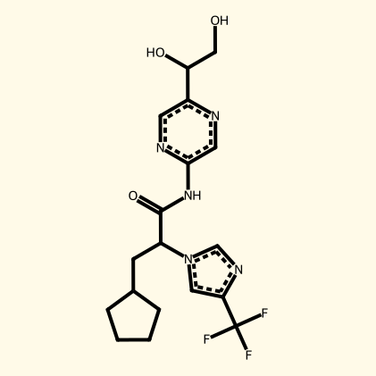 O=C(Nc1cnc(C(O)CO)cn1)C(CC1CCCC1)n1cnc(C(F)(F)F)c1